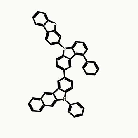 c1ccc(-c2cccc3c2c2cc(-c4ccc5c(c4)c4cc6ccccc6cc4n5-c4ccccc4)ccc2n3-c2ccc3c(c2)sc2ccccc23)cc1